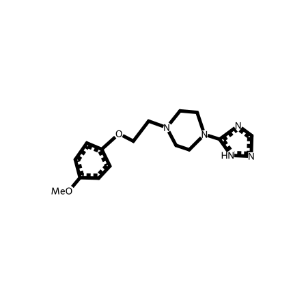 COc1ccc(OCCN2CCN(c3ncn[nH]3)CC2)cc1